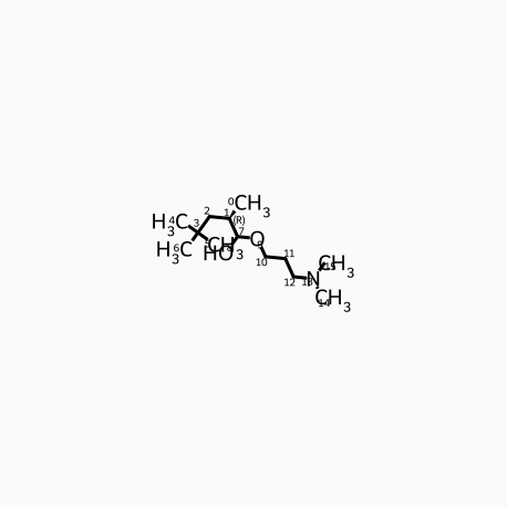 C[C@H](CC(C)(C)C)C(O)OCCCN(C)C